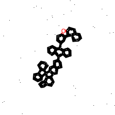 c1ccc2c(c1)-c1ccccc1C21c2cc3cc(-c4c5ccccc5c(-c5ccc6oc7ccc8ccccc8c7c6c5)c5ccccc45)ccc3cc2-c2ccc3ccccc3c21